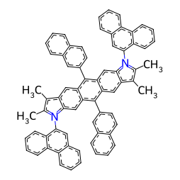 Cc1c(C)n(-c2cc3ccccc3c3ccccc23)c2cc3c(-c4ccc5ccccc5c4)c4cc5c(C)c(C)n(-c6cc7ccccc7c7ccccc67)c5cc4c(-c4ccc5ccccc5c4)c3cc12